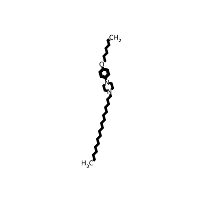 C=CCCCCCOc1ccc(N2CCN(CCCCCCCCCCCCCCCCCC)CC2)cc1